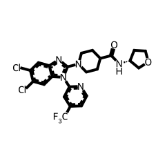 O=C(N[C@@H]1CCOC1)C1CCN(c2nc3cc(Cl)c(Cl)cc3n2-c2cc(C(F)(F)F)ccn2)CC1